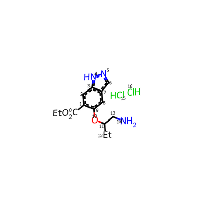 CCOC(=O)c1cc2[nH]ncc2cc1OC(CC)CN.Cl.Cl